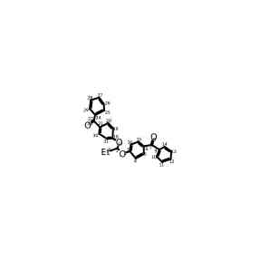 CCC(Oc1ccc(C(=O)c2ccccc2)cc1)Oc1ccc(C(=O)c2ccccc2)cc1